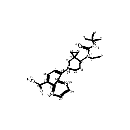 CCN(C(=O)OC(C)(C)C)C1CCN(c2ccc(C(=O)O)c3nccnc23)CC12CC2